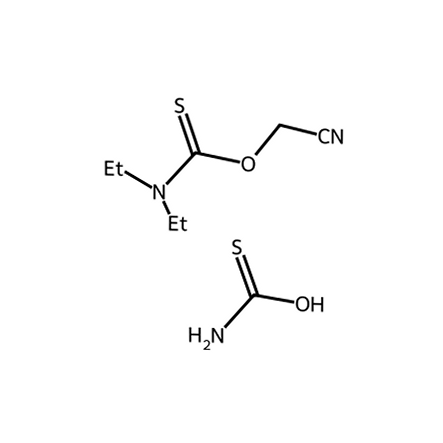 CCN(CC)C(=S)OCC#N.NC(O)=S